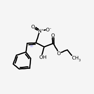 CCOC(=O)C(O)/C(=C\c1ccccc1)[N+](=O)[O-]